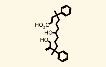 C=C(CO)C(C)(CCCC(O)CCCC(C)(CCC(=O)O)c1ccccc1)c1ccccc1